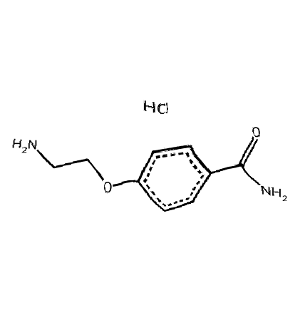 Cl.NCCOc1ccc(C(N)=O)cc1